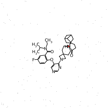 CCN(C(=O)c1cc(F)ccc1Oc1cncnc1N1CC2(CCN(CC3C4CC3CC3(CCC(=O)N3)C4)CC2)C1)C(C)C